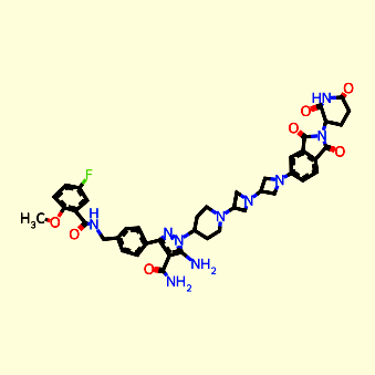 COc1ccc(F)cc1C(=O)NCc1ccc(-c2nn(C3CCN(C4CN(C5CN(c6ccc7c(c6)C(=O)N(C6CCC(=O)NC6=O)C7=O)C5)C4)CC3)c(N)c2C(N)=O)cc1